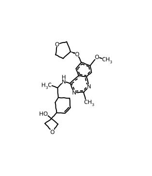 COc1cc2nc(C)nc(NC(C)C3CC=CC(C4(O)COC4)C3)c2cc1O[C@H]1CCOC1